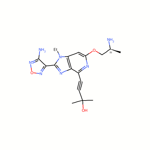 CCn1c(-c2nonc2N)nc2c(C#CC(C)(C)O)nc(OC[C@H](C)N)cc21